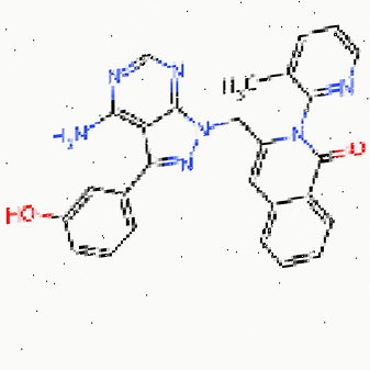 Cc1cccnc1-n1c(Cn2nc(-c3cccc(O)c3)c3c(N)ncnc32)cc2ccccc2c1=O